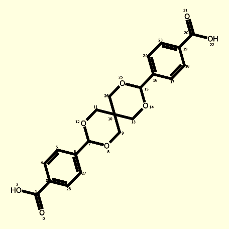 O=C(O)c1ccc(C2OCC3(CO2)COC(c2ccc(C(=O)O)cc2)OC3)cc1